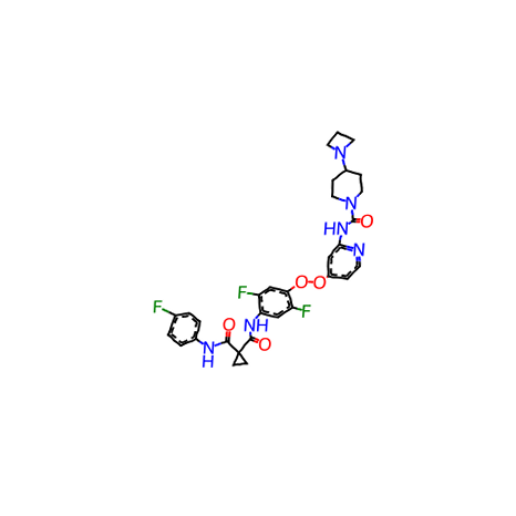 O=C(Nc1cc(OOc2cc(F)c(NC(=O)C3(C(=O)Nc4ccc(F)cc4)CC3)cc2F)ccn1)N1CCC(N2CCC2)CC1